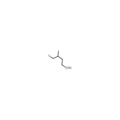 CC(CI)CCC=O